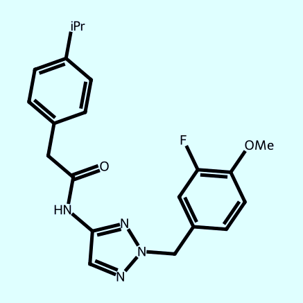 COc1ccc(Cn2ncc(NC(=O)Cc3ccc(C(C)C)cc3)n2)cc1F